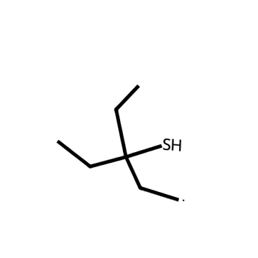 [CH2]CC(S)(CC)CC